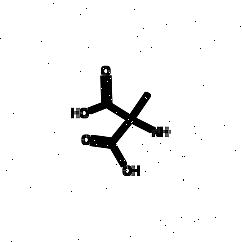 CC([NH])(C(=O)O)C(=O)O